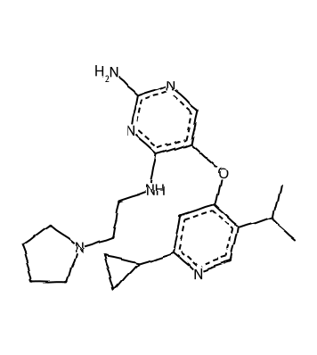 CC(C)c1cnc(C2CC2)cc1Oc1cnc(N)nc1NCCN1CCCC1